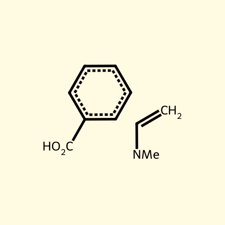 C=CNC.O=C(O)c1ccccc1